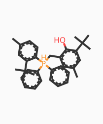 Cc1ccc([PH](Cc2cc(C)cc(C(C)(C)C)c2O)(c2ccccc2)c2ccccc2)c(C(C)(C)C)c1